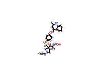 Cc1cc(COc2ccc(S(=O)(=O)CC3(CC(=O)NO)CCN(CC(C)(C)C)C3)cc2)c2ccccc2n1